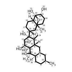 C[C@H]1CC[C@@H]2N(C1)C[C@@H]1[C@](O)([C@@H](O)C[C@@]3(O)[C@@H]4CC[C@@H]5[C@]6(O)O[C@@]4(C[C@@]13O)[C@@]5(C)CC[C@H]6O)[C@]2(C)O